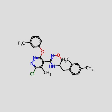 Cc1ccc(CC2CON=C(c3c(Oc4cccc(C(F)(F)F)c4)nnc(Cl)c3C)N2)c(C)c1